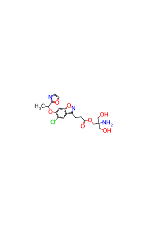 CC(Oc1cc2onc(CCC(=O)OCC(N)(CO)CO)c2cc1Cl)c1ncco1